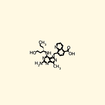 CCC[C@@H](CCO)Nc1nc(N)nc2c(C)nn(Cc3ccc(C(=O)O)c4cccnc34)c12